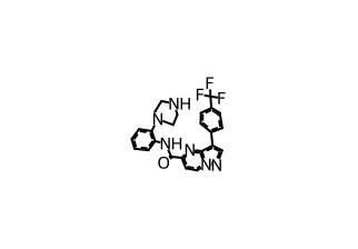 O=C(Nc1ccccc1N1CCNCC1)c1ccn2ncc(-c3ccc(C(F)(F)F)cc3)c2n1